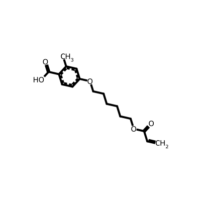 C=CC(=O)OCCCCCCOc1ccc(C(=O)O)c(C)c1